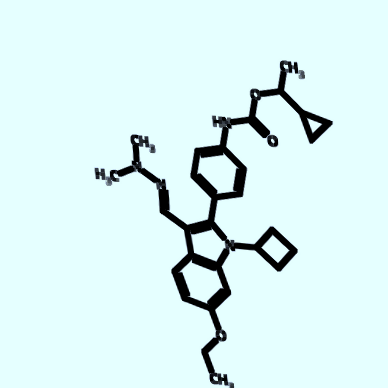 CCOc1ccc2c(C=NN(C)C)c(-c3ccc(NC(=O)OC(C)C4CC4)cc3)n(C3CCC3)c2c1